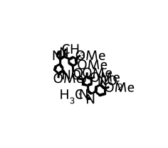 COc1ccc(-c2ncn(C)c2-c2cc(COCc3cc(-c4c(-c5ccc(OC)c([N+](=O)[O-])c5)ncn4C)cc(OC)c3OC)c(OC)c(OC)c2)cc1[N+](=O)[O-]